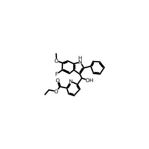 CCOC(=O)c1cccc(C(O)c2c(-c3ccccc3)[nH]c3cc(OC)c(F)cc23)n1